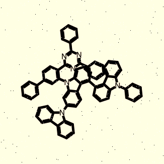 c1ccc(-c2ccc(-c3nc(-c4ccccc4)nc(-c4ccccc4)n3)c(-n3c4cc(-n5c6ccccc6c6ccccc65)ccc4c4c(-c5cccc6c5c5ccccc5n6-c5ccccc5)cccc43)c2)cc1